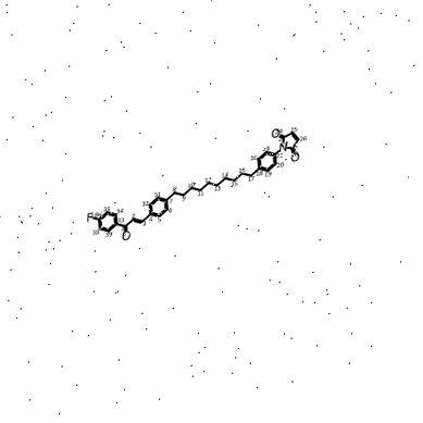 O=C(C=Cc1ccc(CCCCCCCCCCc2ccc(N3C(=O)C=CC3=O)cc2)cc1)c1ccc(F)cc1